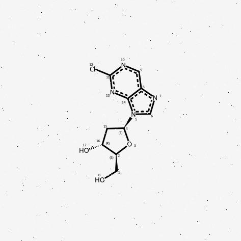 OC[C@@H]1O[C@H](n2cnc3cnc(Cl)nc32)C[C@H]1O